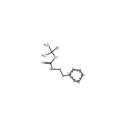 CCC(C)(C)OC(=O)NCCc1ccccc1